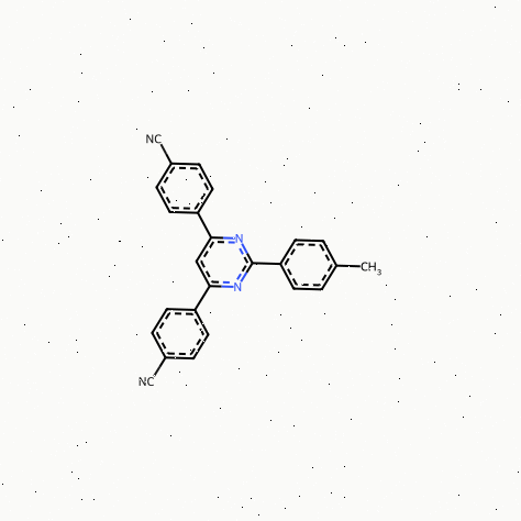 Cc1ccc(-c2nc(-c3ccc(C#N)cc3)cc(-c3ccc(C#N)cc3)n2)cc1